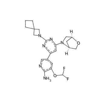 Nc1ncc(-c2cc(N3C[C@@H]4C[C@H]3CO4)nc(N3CC4(CCC4)C3)n2)cc1OC(F)F